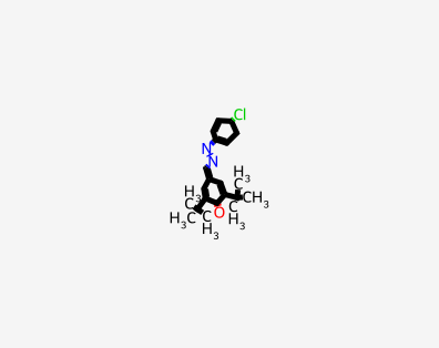 CC(C)(C)C1=CC(=CN=NC2=CCC(Cl)C=C2)C=C(C(C)(C)C)C1=O